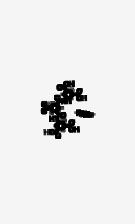 O=C(O)c1cc(NC(=O)c2cc(C(=O)Nc3cc(C(=O)O)cc(C(=O)O)c3)cc([N+](=O)[O-])c2)cc(C(=O)O)c1.[Na].[Na].[Na].[Na]